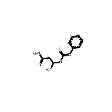 CNC(=O)CC(C)OC(=S)Oc1ccccc1